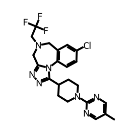 Cc1cnc(N2CCC(c3nnc4n3-c3ccc(Cl)cc3CN(CC(F)(F)F)C4)CC2)nc1